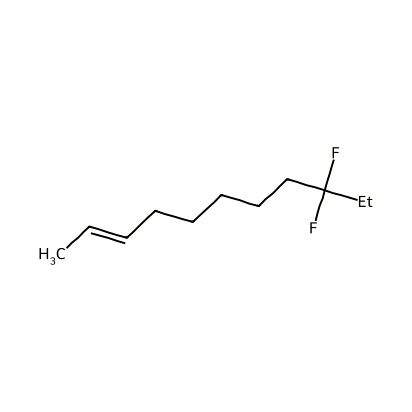 CC=CCCCCCC(F)(F)CC